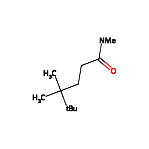 CNC(=O)CCC(C)(C)C(C)(C)C